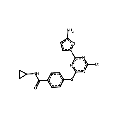 CCc1nc(Sc2ccc(C(=O)NC3CC3)cc2)nc(-n2ccc(N)n2)n1